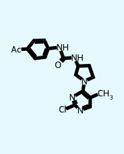 CC(=O)c1ccc(NC(=O)NC2CCN(c3nc(Cl)ncc3C)C2)cc1